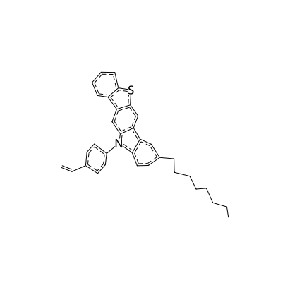 C=Cc1ccc(-n2c3ccc(CCCCCCCC)cc3c3cc4sc5ccccc5c4cc32)cc1